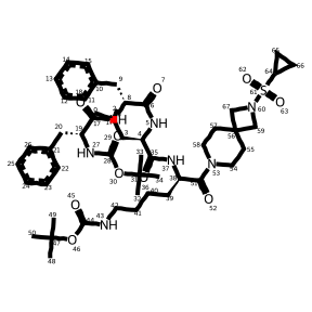 CC(C)C[C@@H](NC(=O)[C@@H](Cc1ccccc1)NC(=O)[C@@H](Cc1ccccc1)NC(=O)OC(C)(C)C)C(=O)N[C@H](CCCCNC(=O)OC(C)(C)C)C(=O)N1CCC2(CC1)CN(S(=O)(=O)C1CC1)C2